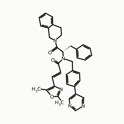 Cc1nc(/C=C/C(=O)N(Cc2ccc(-c3cncnc3)cc2)[C@@H](Cc2ccccc2)C(=O)N2CCc3ccccc3C2)c(C)o1